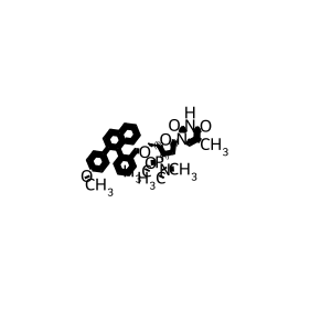 COc1ccc(-c2ccc3ccccc3c2-c2ccccc2COC[C@H]2O[C@@H](n3cc(C)c(=O)[nH]c3=O)C[C@H]2P(OC)N(C)C)cc1